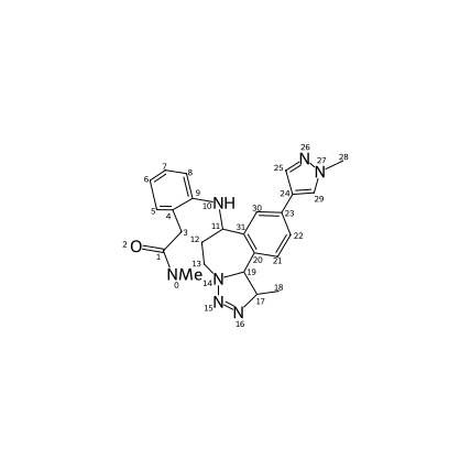 CNC(=O)Cc1ccccc1NC1CCN2N=NC(C)C2c2ccc(-c3cnn(C)c3)cc21